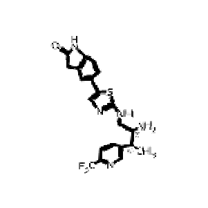 C[C@@H](c1ccc(C(F)(F)F)nc1)[C@H](N)CNc1ncc(-c2ccc3c(c2)CC(=O)N3)s1